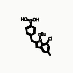 CCCCn1c(Cc2ccc(B(O)O)cc2)cc2cc(C)cc(Cl)c21